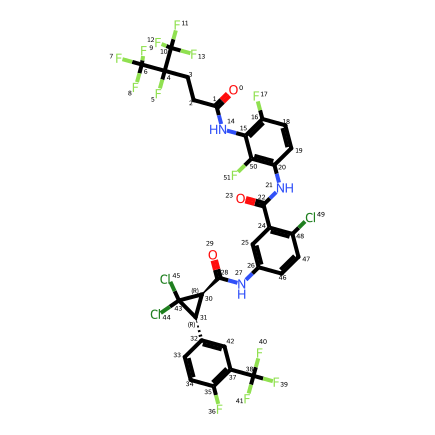 O=C(CCC(F)(C(F)(F)F)C(F)(F)F)Nc1c(F)ccc(NC(=O)c2cc(NC(=O)[C@H]3[C@H](c4ccc(F)c(C(F)(F)F)c4)C3(Cl)Cl)ccc2Cl)c1F